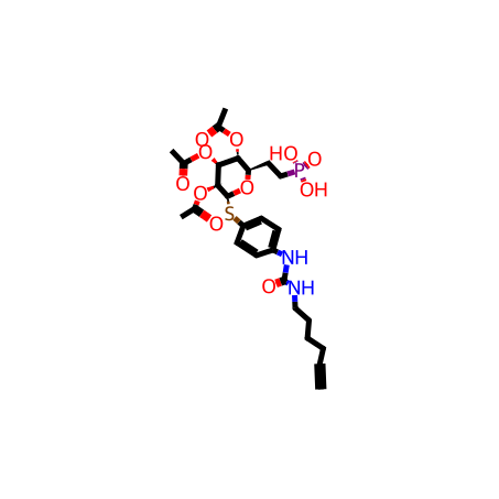 C#CCCCCNC(=O)Nc1ccc(S[C@H]2O[C@H](CCP(=O)(O)O)[C@@H](OC(C)=O)[C@H](OC(C)=O)[C@@H]2OC(C)=O)cc1